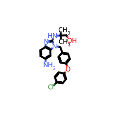 CC(C)(CO)Nc1nc2ccc(N)cc2n1Cc1ccc(Oc2ccc(Cl)cc2)cc1